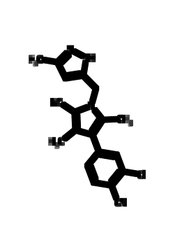 Cc1c(-c2ccc(C#N)c(Cl)c2)c(C)n(Cc2cc(C(F)(F)F)n[nH]2)c1C#N